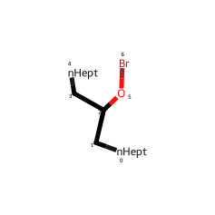 CCCCCCCCC(CCCCCCCC)OBr